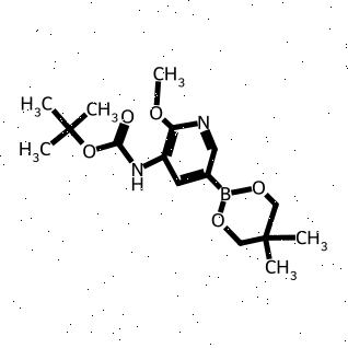 COc1ncc(B2OCC(C)(C)CO2)cc1NC(=O)OC(C)(C)C